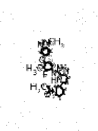 C=CC(=O)N1CCCC[C@@H](c2ccc3ncnc(Nc4ccc(Oc5ccc6c(c5)ncn6C)c(C)c4F)c3n2)C1